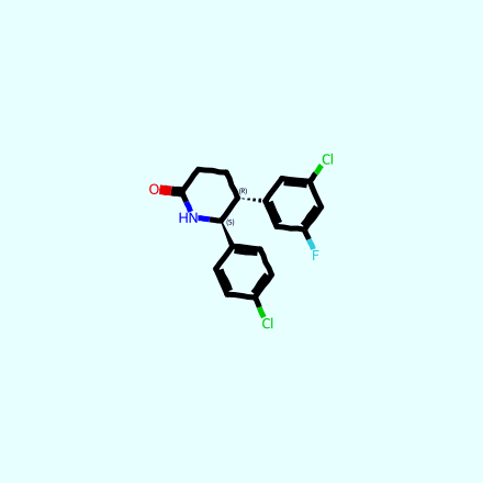 O=C1CC[C@H](c2cc(F)cc(Cl)c2)[C@@H](c2ccc(Cl)cc2)N1